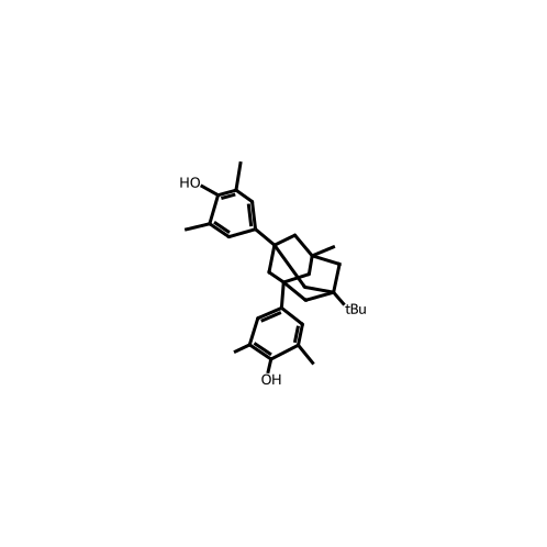 Cc1cc(C23CC4(C)CC(c5cc(C)c(O)c(C)c5)(C2)CC(C(C)(C)C)(C4)C3)cc(C)c1O